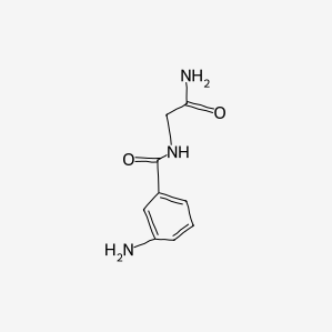 NC(=O)CNC(=O)c1cccc(N)c1